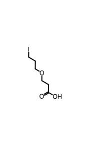 O=C(O)CCOCCCI